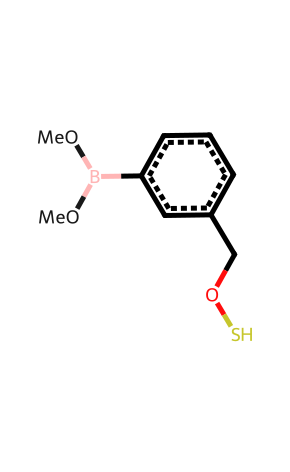 COB(OC)c1cccc(COS)c1